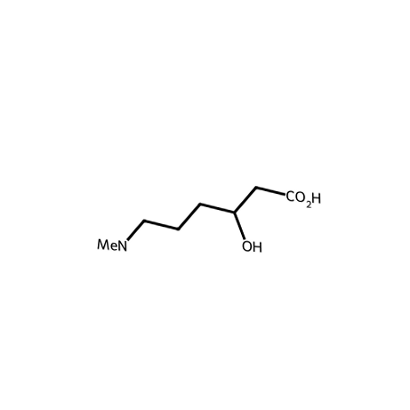 CNCCCC(O)CC(=O)O